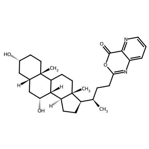 C[C@H](CCc1nc2cccnc2c(=O)o1)[C@H]1CC[C@H]2[C@H]3C(CC[C@]12C)[C@@]1(C)CC[C@@H](O)C[C@H]1C[C@H]3O